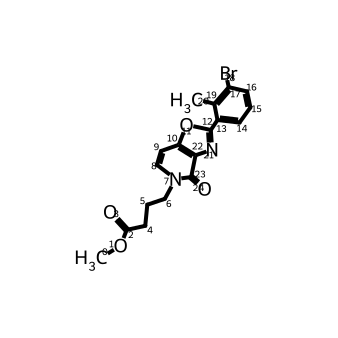 COC(=O)CCCn1ccc2oc(-c3cccc(Br)c3C)nc2c1=O